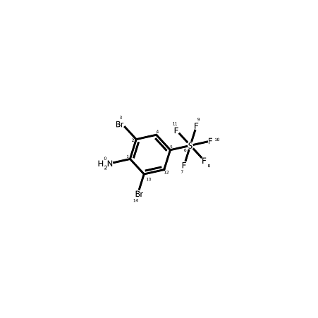 Nc1c(Br)cc(S(F)(F)(F)(F)F)cc1Br